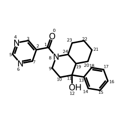 O=C(c1cncnc1)N1CCC(O)(c2ccccc2)C2CCCCC21